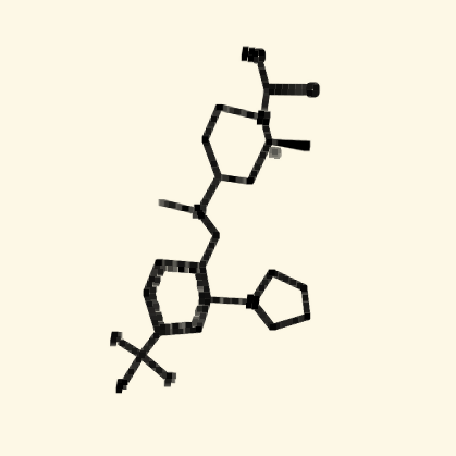 C[C@H]1CC(N(C)Cc2ccc(C(F)(F)F)cc2N2CCCC2)CCN1C(=O)O